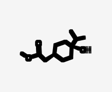 COC(=O)C[C@H]1CC[C@](O)(C(C)C)CC1